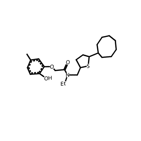 CCN(CC1CCC(C2CCCCCCC2)S1)C(=O)COc1cc(C)ccc1O